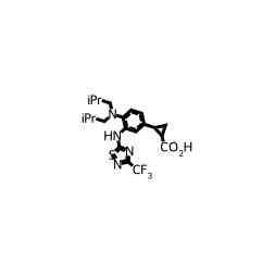 CC(C)CN(CC(C)C)c1ccc(C2CC2C(=O)O)cc1Nc1nc(C(F)(F)F)ns1